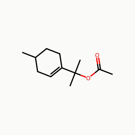 CC(=O)OC(C)(C)C1=CCC(C)CC1